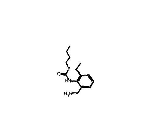 CCCCSC(=O)Nc1c(CC)cccc1CN